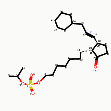 CC(C)OS(=O)(=O)OCCCCCCC[C@H]1C(=O)CC[C@@H]1/C=C/CC1CCCCC1